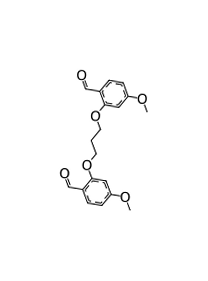 COc1ccc(C=O)c(OCCCOc2cc(OC)ccc2C=O)c1